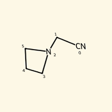 N#CCN1CCC1